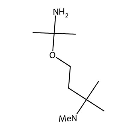 CNC(C)(C)CCOC(C)(C)N